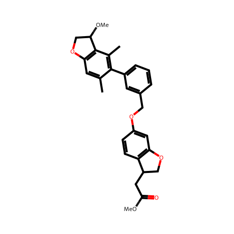 COC(=O)CC1COc2cc(OCc3cccc(-c4c(C)cc5c(c4C)C(OC)CO5)c3)ccc21